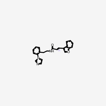 O=C(/C=C/c1coc2ccccc12)NCCc1ccccc1-n1ccnc1